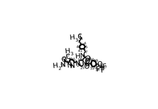 CCCc1ccc(CNC(=O)C2CN(c3cc(C)c(C(N)=O)nn3)CCN2S(=O)(=O)c2ccc(OC(F)(F)F)cc2)cc1